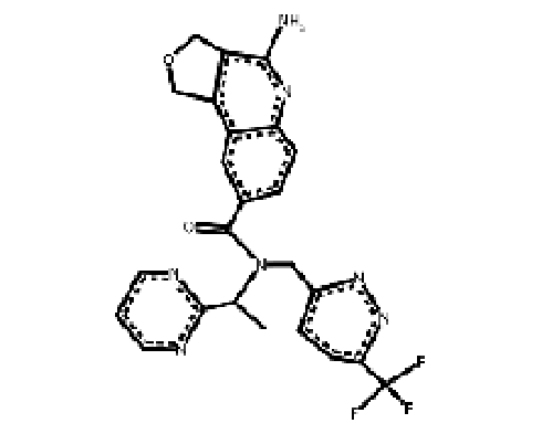 CC(c1ncccn1)N(Cc1ccc(C(F)(F)F)nn1)C(=O)c1ccc2nc(N)c3c(c2c1)COC3